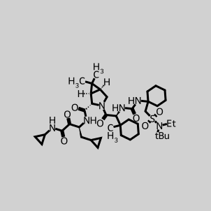 CCN(C(C)(C)C)S(=O)(=O)CC1(NC(=O)N[C@H](C(=O)N2C[C@H]3[C@@H]([C@H]2C(=O)N[C@@H](CC2CC2)C(=O)C(=O)NC2CC2)C3(C)C)C2(C)CCCCC2)CCCCC1